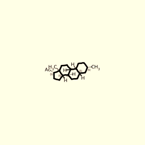 CC(=O)[C@H]1CC[C@H]2[C@@H]3CC[C@H]4C[C@@H](C)CC[C@@H]4[C@H]3CC[C@]12C